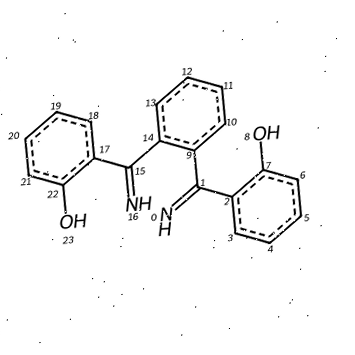 N=C(c1ccccc1O)c1ccccc1C(=N)c1ccccc1O